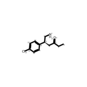 CCC(=O)C[C@H](CN)c1ccc(Cl)cc1